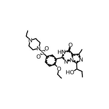 CCOc1ccc(S(=O)(=O)N2CCN(CC)CC2)cc1-c1nn2c(C(O)CC)nc(C)c2c(=O)[nH]1